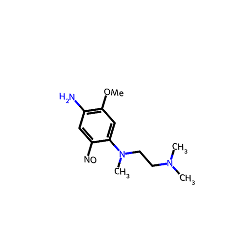 COc1cc(N(C)CCN(C)C)c(N=O)cc1N